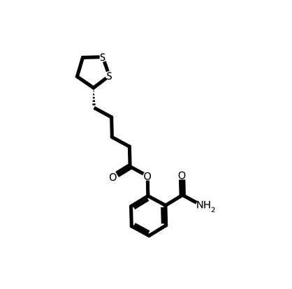 NC(=O)c1ccccc1OC(=O)CCCC[C@@H]1CCSS1